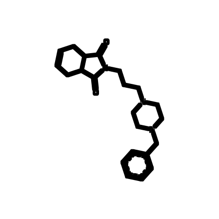 O=C1C2CC=CCC2C(=O)N1CCCN1CCN(Cc2ccccc2)CC1